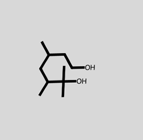 CC(CCO)CC(C)C(C)(C)O